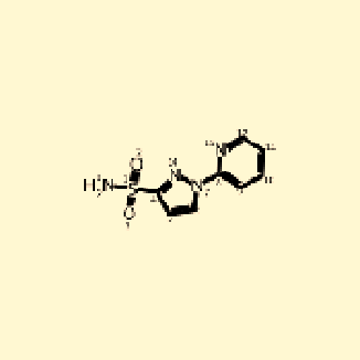 NS(=O)(=O)c1ccn(-c2ccccn2)n1